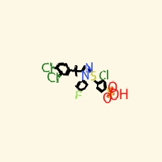 CC(C)(c1ccc(Cl)c(Cl)c1)c1cnc(SCc2ccc(S(=O)(=O)O)cc2Cl)n1-c1ccc(F)cc1